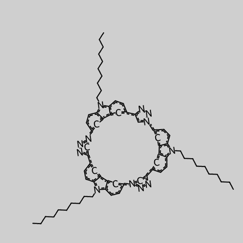 CCCCCCCCCCn1c2ccc3cc2c2cc(ccc21)n1cc(nn1)c1ccc2c(c1)c1cc(ccc1n2CCCCCCCCCC)n1cc(nn1)c1ccc2c(c1)c1cc(ccc1n2CCCCCCCCCC)n1cc3nn1